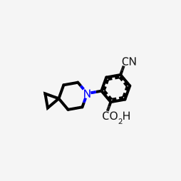 N#Cc1ccc(C(=O)O)c(N2CCC3(CC2)CC3)c1